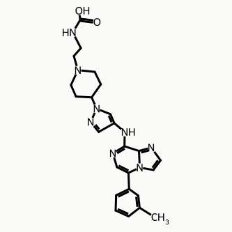 Cc1cccc(-c2cnc(Nc3cnn(C4CCN(CCNC(=O)O)CC4)c3)c3nccn23)c1